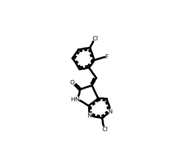 O=C1Nc2nc(Cl)ncc2C1=Cc1cccc(Cl)c1F